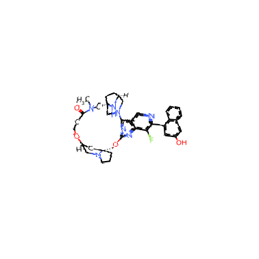 CN1C[C@@]23CC[C@@H](CN(C2)c2nc(nc4c(F)c(-c5cc(O)cc6ccccc56)ncc24)OC[C@]24CCCN2C[C@@H](C4)OCCC1=O)N3